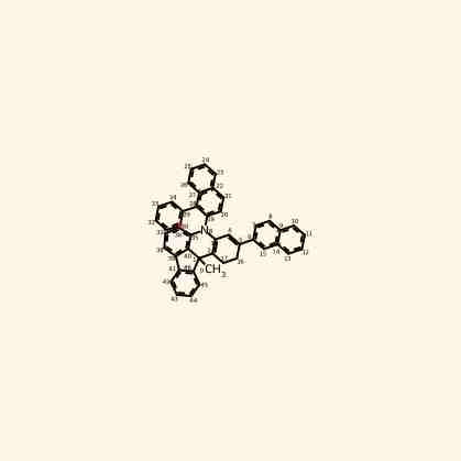 CC12C3=C(C=C(c4ccc5ccccc5c4)CC3)N(c3ccc4ccccc4c3-c3ccccc3)c3cccc(c31)-c1ccccc12